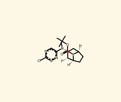 CN(c1cnc(Cl)nn1)[C@@H]1C[C@H]2CC[C@@H]([C@@H]1F)N2C(=O)OC(C)(C)C